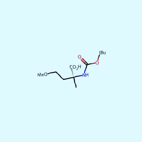 COCC[C@](C)(NC(=O)OC(C)(C)C)C(=O)O